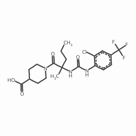 CCCC(C)(NC(=O)Nc1ccc(C(F)(F)F)cc1Cl)C(=O)N1CCC(C(=O)O)CC1